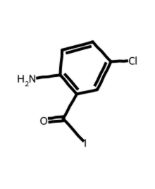 Nc1ccc(Cl)cc1C(=O)I